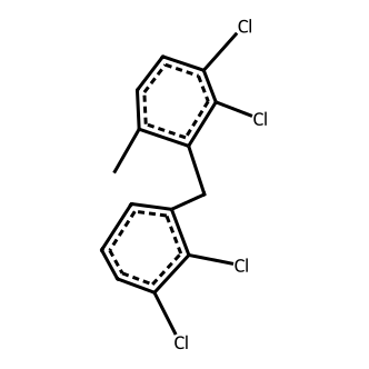 Cc1ccc(Cl)c(Cl)c1Cc1cccc(Cl)c1Cl